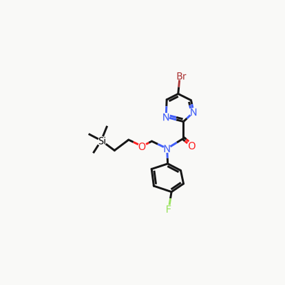 C[Si](C)(C)CCOCN(C(=O)c1ncc(Br)cn1)c1ccc(F)cc1